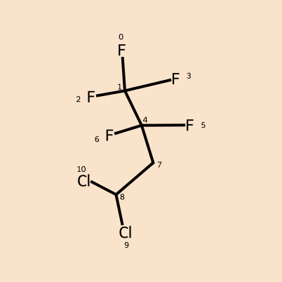 FC(F)(F)C(F)(F)CC(Cl)Cl